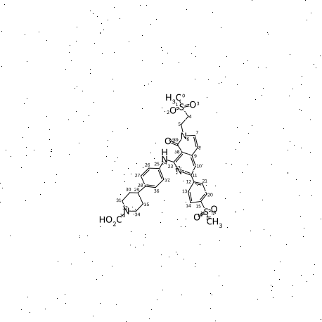 CS(=O)(=O)CCn1ccc2cc(-c3ccc(S(C)(=O)=O)cc3)nc(Nc3ccc(C4CCN(C(=O)O)CC4)cc3)c2c1=O